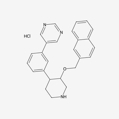 Cl.c1cc(-c2cncnc2)cc(C2CCNCC2OCc2ccc3ccccc3c2)c1